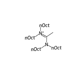 CCCCCCCCN(CCCCCCCC)C(C)=[N+](CCCCCCCC)CCCCCCCC